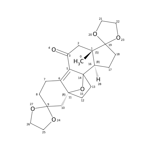 C[C@]12CC(=O)C3=C4CCC5(C[C@]46CCC3(O6)[C@@H]1CCC21OCCO1)OCCO5